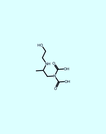 CC(CN(C(=O)O)C(=O)O)NCCO